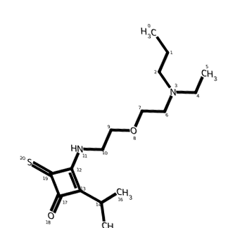 CCCN(CC)CCOCCNc1c(C(C)C)c(=O)c1=S